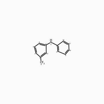 FC(F)(F)c1cccc(Nc2cc[c]cc2)c1